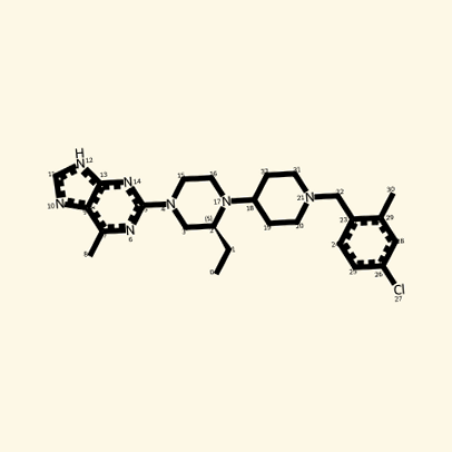 CC[C@H]1CN(c2nc(C)c3nc[nH]c3n2)CCN1C1CCN(Cc2ccc(Cl)cc2C)CC1